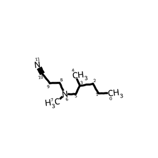 CCCC(C)CN(C)CCC#N